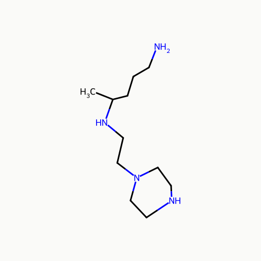 CC(CCCN)NCCN1CCNCC1